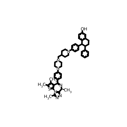 Cc1sc2c(c1C)C(c1ccc(N3CCN(CC4CCN(c5ccc(C6c7ccc(O)cc7CCC6c6ccccc6)cc5)CC4)CC3)cc1)=N[C@@H](C)c1nnc(C)n1-2